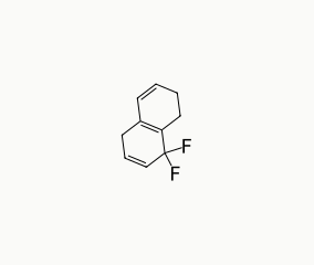 FC1(F)C=CCC2=C1CCC=C2